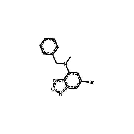 CN(Cc1ccccc1)c1cc(Br)cc2nonc12